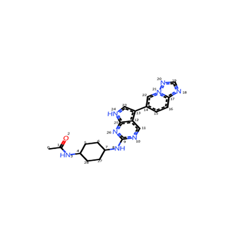 CC(=O)NC1CCC(Nc2ncc3c(-c4ccc5ncnn5c4)c[nH]c3n2)CC1